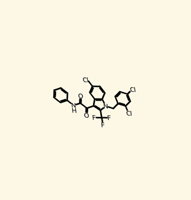 O=C(Nc1ccccc1)C(=O)c1c(C(F)(F)F)n(Cc2ccc(Cl)cc2Cl)c2ccc(Cl)cc12